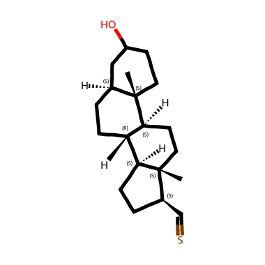 C[C@]12CCC(O)C[C@@H]1CC[C@@H]1[C@@H]2CC[C@]2(C)[C@@H](C=S)CC[C@@H]12